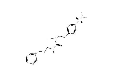 CC(C)N(CCc1ccc(S(=O)(=O)N(C)C)cc1)C(=O)N(C)CCCc1ccccc1